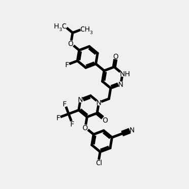 CC(C)Oc1ccc(-c2cc(Cn3cnc(C(F)(F)F)c(Oc4cc(Cl)cc(C#N)c4)c3=O)n[nH]c2=O)cc1F